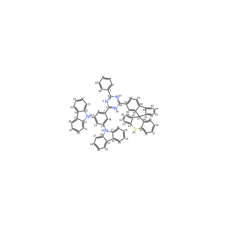 c1ccc(-c2nc(-c3cc(-n4c5ccccc5c5ccccc54)cc(-n4c5ccccc5c5ccccc54)c3)nc(-c3ccc4c(c3)C3(c5ccccc5Sc5ccccc53)c3ccccc3-4)n2)cc1